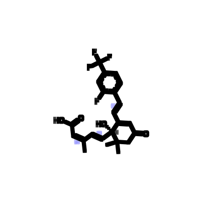 CC(=C/C(=O)O)/C=C/[C@@]1(O)C(/C=C/c2ccc(C(F)(F)F)cc2F)=CC(=O)CC1(C)C